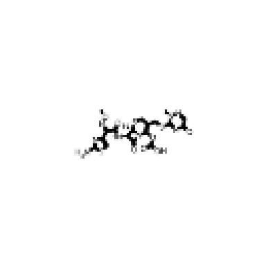 CO/N=C(\C(=O)N[C@@H]1C(=O)N2C(OC(=O)O)=C(CSc3nc(=O)cnn3C)CS[C@H]12)c1csc(N)n1